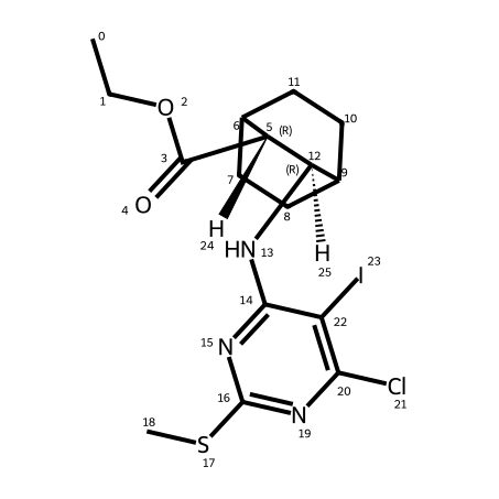 CCOC(=O)[C@@H]1C2CCC(CC2)[C@H]1Nc1nc(SC)nc(Cl)c1I